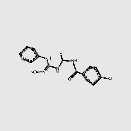 CCC(NC(=O)c1ccc(Cl)cc1)N/C(=N/C#N)Nc1cccnc1